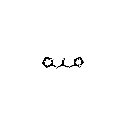 O=C(Oc1ccco1)Oc1ccco1